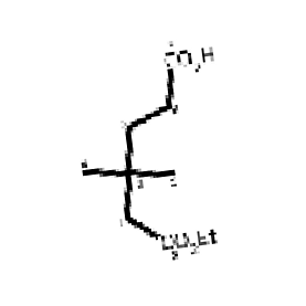 CCOC(=O)CC(C)(C)CCC(=O)O